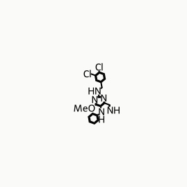 COc1nc(NCc2ccc(Cl)c(Cl)c2)nc(C=N)c1Nc1ccccc1